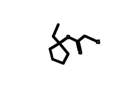 CCC1(OC(=O)CCl)CCCC1